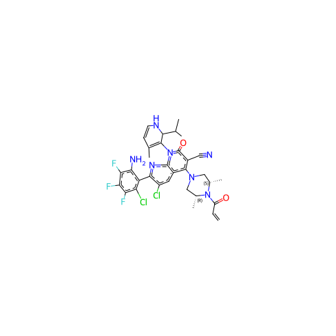 C=CC(=O)N1[C@H](C)CN(c2c(C#N)c(=O)n(C3=C(C)C=CNC3C(C)C)c3nc(-c4c(N)c(F)c(F)c(F)c4Cl)c(Cl)cc23)C[C@@H]1C